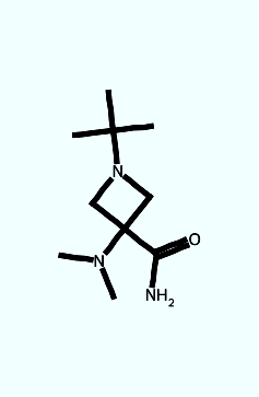 CN(C)C1(C(N)=O)CN(C(C)(C)C)C1